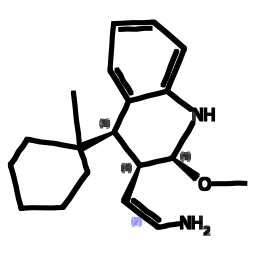 CO[C@@H]1Nc2ccccc2[C@H](C2(C)CCCCC2)[C@@H]1/C=C\N